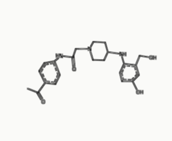 CC(=O)c1ccc(NC(=O)CN2CCC(Nc3ccc(O)cc3CO)CC2)cc1